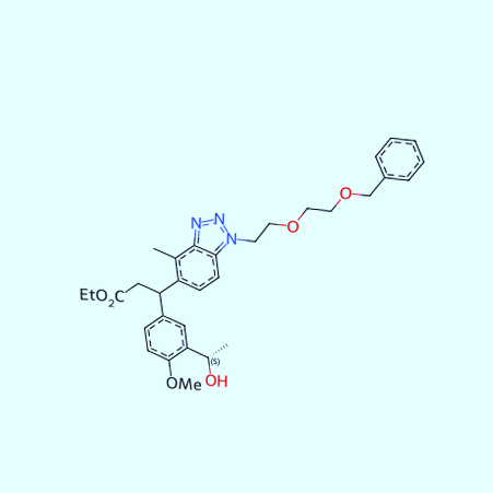 CCOC(=O)CC(c1ccc(OC)c([C@H](C)O)c1)c1ccc2c(nnn2CCOCCOCc2ccccc2)c1C